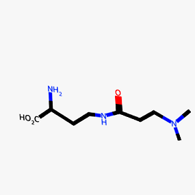 CN(C)CCC(=O)NCCC(N)C(=O)O